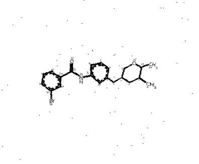 CC1[C]C(Cc2cccc(NC(=O)c3cccc(Br)c3)c2)COC1C